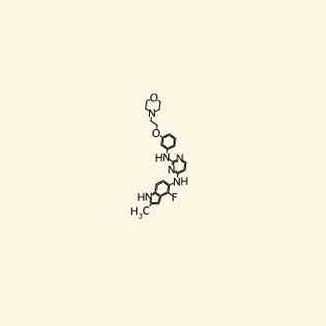 Cc1cc2c(F)c(Nc3ccnc(Nc4cccc(OCCN5CCOCC5)c4)n3)ccc2[nH]1